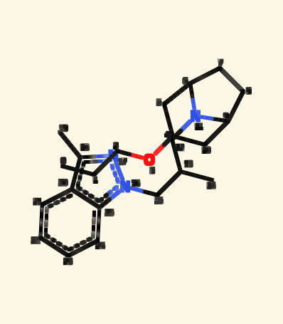 CCCOC1CC2CCC(C1)N2CC(C)Cn1nc(C)c2ccccc21